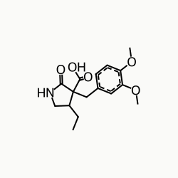 CCC1CNC(=O)C1(Cc1ccc(OC)c(OC)c1)C(=O)O